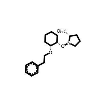 O=C[C@@H]1CCCN1O[C@H]1CCCC[C@H]1OCCc1ccccc1